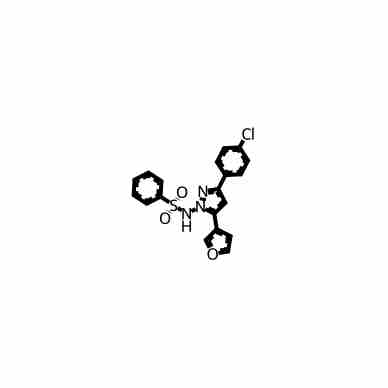 O=S(=O)(Nn1nc(-c2ccc(Cl)cc2)cc1-c1ccoc1)c1ccccc1